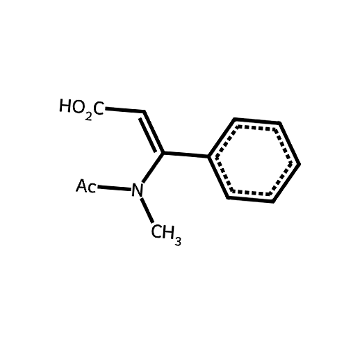 CC(=O)N(C)C(=CC(=O)O)c1ccccc1